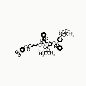 CC(C)(C)OC(=O)[C@@H]1C[C@H](Oc2nc3ccccc3n2C2CCN(C(=O)OC(C)(C)C)CC2)CN1c1nc(OCCCCOC(=O)Oc2ccc([N+](=O)[O-])cc2)nc2c1oc1ccccc12